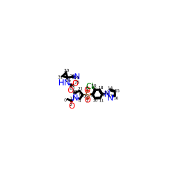 CC(=O)N1C[C@H](S(=O)(=O)c2ccc(-n3cccn3)cc2Cl)C[C@@H]1OC(=O)NC1(C#N)CC1